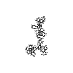 c1ccc(-c2nc(-c3cccc4c3-c3ccccc3C43c4cccc5cc(-c6ccc(-c7nc(-c8ccc9c(c8)-c8ccccc8C98c9cccc%10ccc%11cccc8c%11c9%10)nc(-c8cc9ccccc9c9ccccc89)n7)cc6)c6cccc3c6c45)nc(-c3cc4ccccc4c4ccccc34)n2)cc1